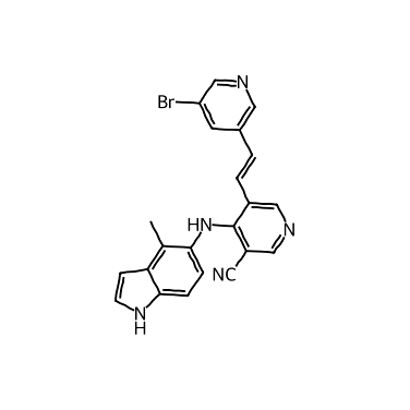 Cc1c(Nc2c(C#N)cncc2/C=C/c2cncc(Br)c2)ccc2[nH]ccc12